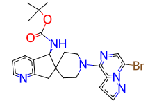 CC(C)(C)OC(=O)N[C@@H]1c2cccnc2CC12CCN(c1ncc(Br)n3nccc13)CC2